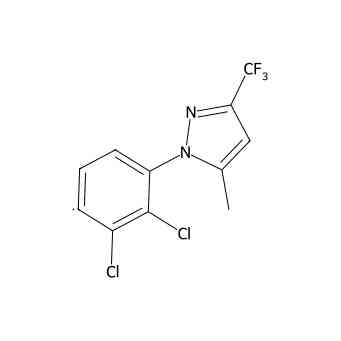 Cc1cc(C(F)(F)F)nn1-c1cc[c]c(Cl)c1Cl